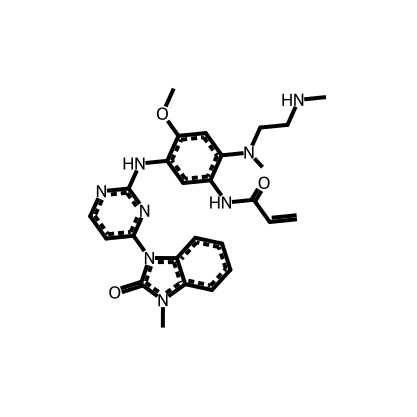 C=CC(=O)Nc1cc(Nc2nccc(-n3c(=O)n(C)c4ccccc43)n2)c(OC)cc1N(C)CCNC